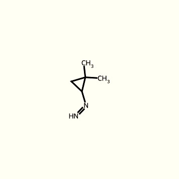 CC1(C)CC1N=N